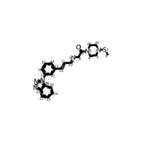 CSN1CCN(C(=O)C/N=C/C=C/c2cccc(-n3nnc4ccccc43)c2)CC1